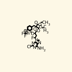 CCOC(=O)C(Cc1ccc(OC(F)(F)F)cc1)(OCC(CC(F)n1cnc2c(N)nc(Cl)nc21)OC)C(=O)OCC